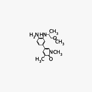 COC[C@@H](C)Nc1cc(-c2cc(C)c(=O)n(C)c2)ccc1N